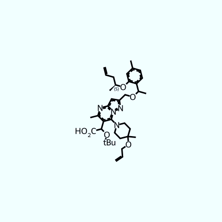 C=CCOC1(C)CCN(c2c(C(OC(C)(C)C)C(=O)O)c(C)nc3cc(COC(C)c4ccc(C)cc4O[C@@H](C)CC=C)nn23)CC1